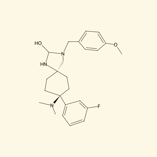 COc1ccc(CN2C[C@]3(CC[C@](c4cccc(F)c4)(N(C)C)CC3)NC2O)cc1